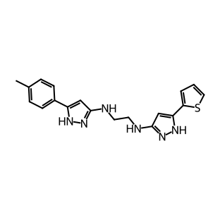 Cc1ccc(-c2cc(NCCNc3cc(-c4cccs4)[nH]n3)n[nH]2)cc1